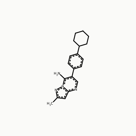 Cc1cc2ncc(-c3ccc(C4CC[CH]CC4)cc3)c(N)n2n1